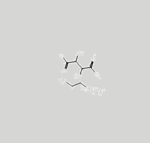 NCCN.O=C([O-])C(O)C(O)C(=O)[O-].[Na+].[Na+]